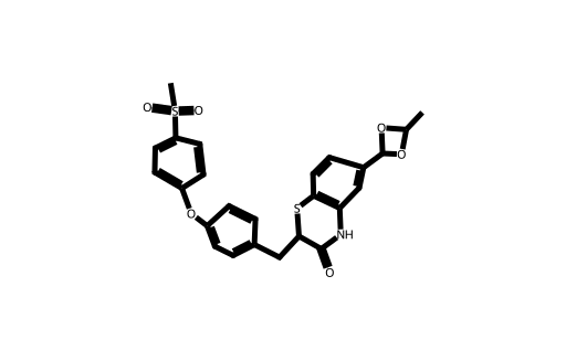 CC1OC(c2ccc3c(c2)NC(=O)C(Cc2ccc(Oc4ccc(S(C)(=O)=O)cc4)cc2)S3)O1